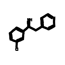 N=C(Cc1ccncc1)c1cccc(Cl)c1